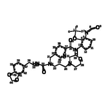 CC(C)(C)Oc1c(N=C=O)cccc1NC(=O)c1ccc(CN(CCCN2CCOCC2)C(=O)NCCc2ccc3c(c2)OCO3)cn1